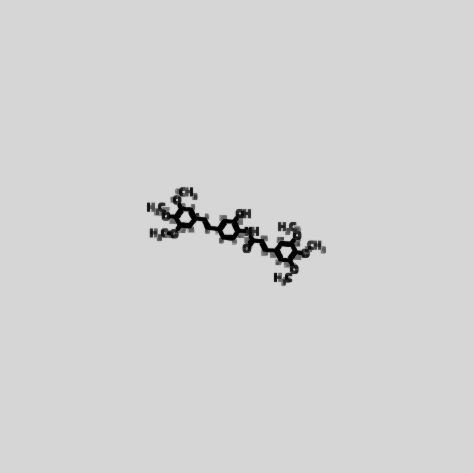 COc1cc(C=Cc2ccc(NC(=O)/C=C/c3cc(OC)c(OC)c(OC)c3)c(O)c2)cc(OC)c1OC